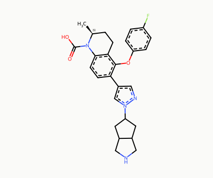 C[C@H]1CCc2c(ccc(-c3cnn(C4CC5CNCC5C4)c3)c2Oc2ccc(F)cc2)N1C(=O)O